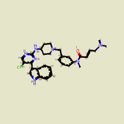 CN(C)C/C=C/C(=O)N(C)c1cccc(CN2CCC(Nc3ncc(Cl)c(-c4c[nH]c5ccccc45)n3)CC2)c1